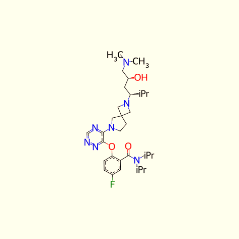 CC(C)[C@H](C[C@H](O)CN(C)C)N1CC2(CCN(c3ncnnc3Oc3ccc(F)cc3C(=O)N(C(C)C)C(C)C)C2)C1